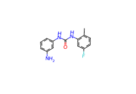 Cc1ccc(F)cc1NC(=O)Nc1cccc(N)c1